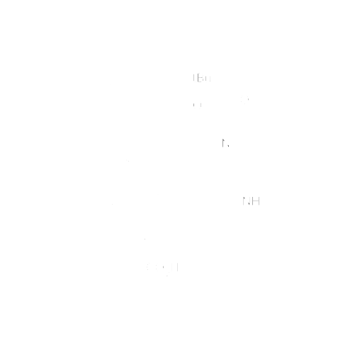 CC(C)(C)OC(=O)N1CCCNCC1.CC12CC3CC(C(=O)O)(C1)CC(c1ccccc1)(C3)C2